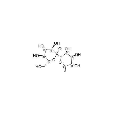 C[C@H]1OC(C2([O])O[C@H](CO)[C@@H](O)[C@H](O)[C@H]2O)[C@@H](O)[C@@H](O)[C@@H]1O